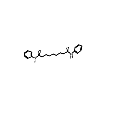 O=C(CCCCCCCC(=O)Nc1ccccc1)Nc1ccccc1